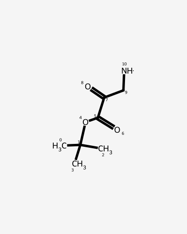 CC(C)(C)OC(=O)C(=O)C[NH]